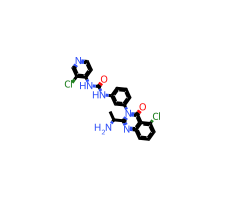 CC(N)c1nc2cccc(Cl)c2c(=O)n1-c1cccc(NC(=O)Nc2ccncc2Cl)c1